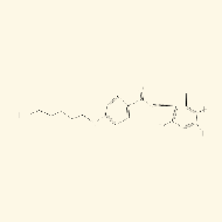 CCCCCCSc1ccc(C(=O)C=Cc2c(F)cc(F)c(F)c2F)cc1